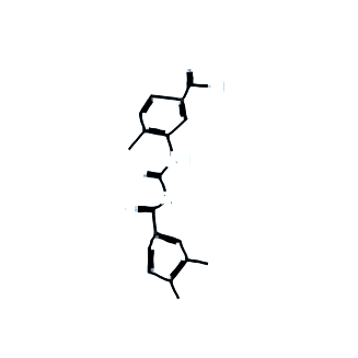 Cc1ccc(C(=O)NC(=S)Nc2cc(C(=O)O)ccc2C)cc1C